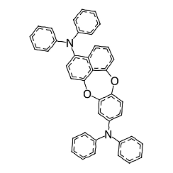 c1ccc(N(c2ccccc2)c2ccc3c(c2)Oc2ccc(N(c4ccccc4)c4ccccc4)c4cccc(c24)O3)cc1